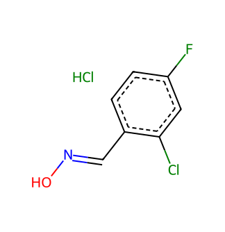 Cl.ON=Cc1ccc(F)cc1Cl